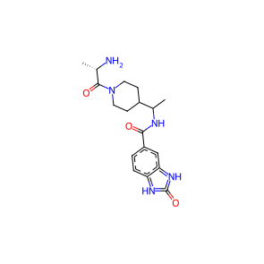 CC(NC(=O)c1ccc2[nH]c(=O)[nH]c2c1)C1CCN(C(=O)[C@H](C)N)CC1